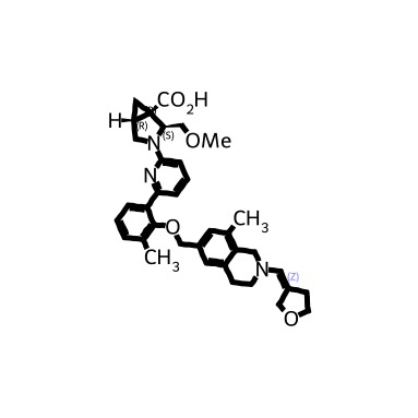 COC[C@H]1N(c2cccc(-c3cccc(C)c3OCc3cc(C)c4c(c3)CCN(/C=C3/CCOC3)C4)n2)C[C@@H]2C[C@@]21C(=O)O